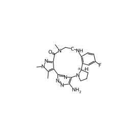 Cc1c2c(nn1C)C(=O)N(C)CCNc1ccc(F)cc1[C@H]1CCCN1c1nc-2nnc1N